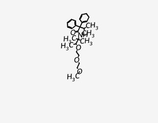 COCCOCCOC(C)C(C)(C)NC(=O)C(C1=CCCC=C1)(c1ccccc1)C(C)C